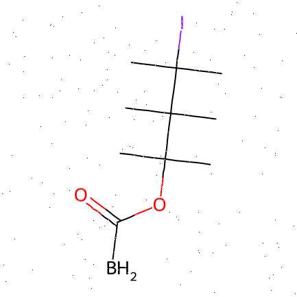 BC(=O)OC(C)(C)C(C)(C)C(C)(C)I